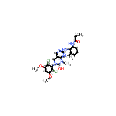 C=CC(=O)Nc1cccc(C)c1Nc1ncc2c(n1)N(C)[C@H](O)N(c1c(Cl)c(OC)cc(OC)c1Cl)C2